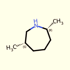 C[C@H]1CCC[C@@H](C)NC1